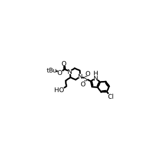 CC(C)(C)OC(=O)N1CCN(S(=O)(=O)c2cc3cc(Cl)ccc3[nH]2)CC1CCO